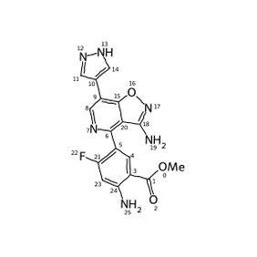 COC(=O)c1cc(-c2ncc(-c3cn[nH]c3)c3onc(N)c23)c(F)cc1N